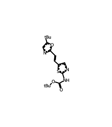 CC(C)(C)OC(=O)Nc1ncc(C=Cc2ncc(C(C)(C)C)o2)s1